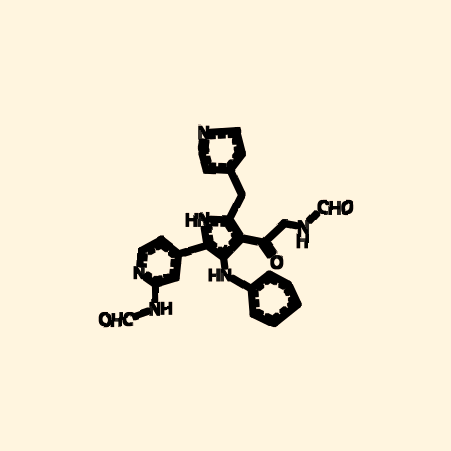 O=CNCC(=O)c1c(Cc2ccncc2)[nH]c(-c2ccnc(NC=O)c2)c1Nc1ccccc1